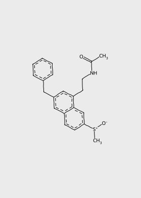 CC(=O)NCCc1cc(Cc2ccccc2)cc2ccc([S+](C)[O-])cc12